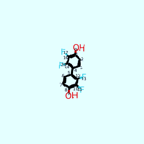 Oc1ccc(-c2ccc(O)c(F)c2F)c(F)c1F